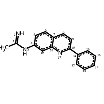 CC(=N)Nc1ccc2ccc(-c3ccccc3)nc2c1